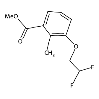 COC(=O)c1cccc(OCC(F)F)c1C